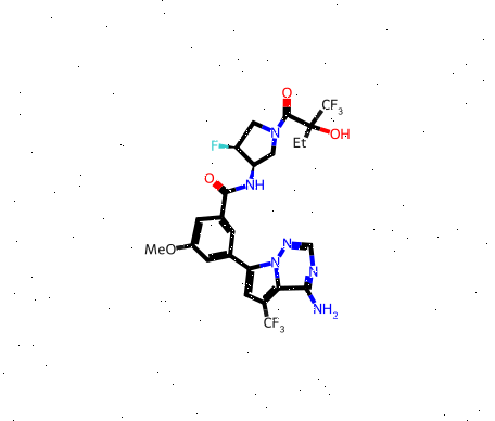 CCC(O)(C(=O)N1C[C@H](F)[C@H](NC(=O)c2cc(OC)cc(-c3cc(C(F)(F)F)c4c(N)ncnn34)c2)C1)C(F)(F)F